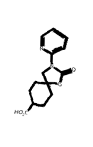 O=C(O)C1CCC2(CC1)CN(c1ccccn1)C(=O)O2